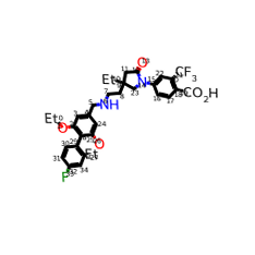 CCOc1cc(CNCCC2(CC)CC(=O)N(c3ccc(C(=O)O)c(C(F)(F)F)c3)C2)cc(OCC)c1-c1ccc(F)cc1